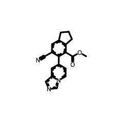 COC(=O)c1c2c(cc(C#N)c1-c1ccn3cncc3c1)CCC2